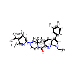 COC(=O)c1c(C)cc(N2CCN(C(=O)c3nc4c(cc3C)c(-c3ccc(Cl)c(F)c3)cn4CC(C)C)C(C)(C)C2)nc1C